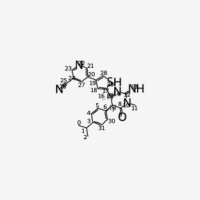 CC(C)c1ccc([C@@H]2C(=O)N(C)C(=N)N[C@]2(C)c2cc(-c3cncc(C#N)c3)cs2)cc1